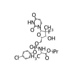 CC(C)OC(=O)C(C)NP(=O)(OC[C@H]1O[C@@H](n2ccc(=O)[nH]c2=O)[C@](C)(F)[C@@H]1O)Oc1ccc(Cl)cc1